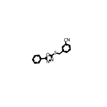 N#Cc1cccc(CSc2nnc(-c3ccccc3)o2)c1